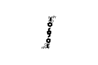 CCC[C@H](F)C(=O)O[C@H]1CC[C@H](CCc2ccc(CC[C@H]3CC[C@H](OC(=O)[C@@H](F)CCC)CC3)cc2)CC1